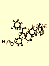 COc1ccc(C2CSc3cc(C(O)(C(F)(F)F)C(F)(F)F)ccc3N2C(=O)Cc2ccccc2)cc1